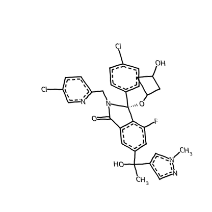 Cn1cc(C(C)(O)c2cc(F)c3c(c2)C(=O)N(Cc2ccc(Cl)cn2)[C@@]3(OC2CC(O)C2)c2ccc(Cl)cc2)cn1